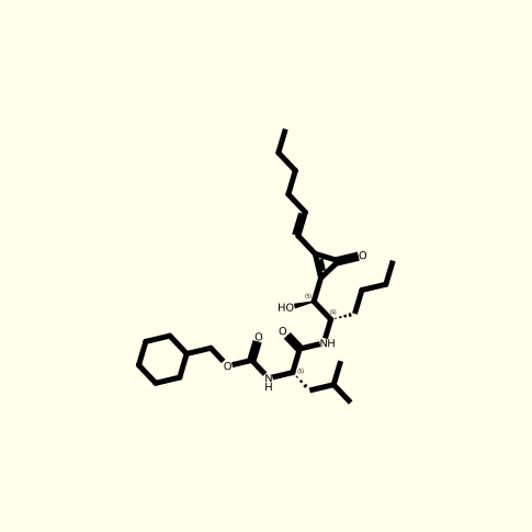 CCCCC=Cc1c([C@H](O)[C@H](CCCC)NC(=O)[C@H](CC(C)C)NC(=O)OCC2CCCCC2)c1=O